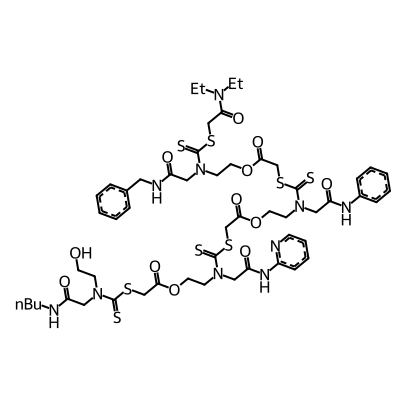 CCCCNC(=O)CN(CCO)C(=S)SCC(=O)OCCN(CC(=O)Nc1ccccn1)C(=S)SCC(=O)OCCN(CC(=O)Nc1ccccc1)C(=S)SCC(=O)OCCN(CC(=O)NCc1ccccc1)C(=S)SCC(=O)N(CC)CC